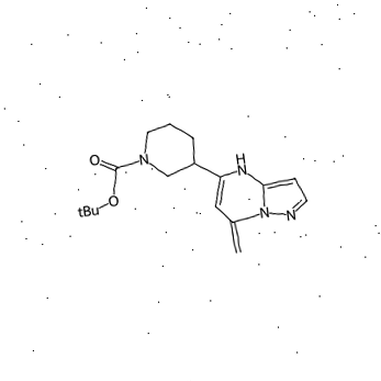 C=C1C=C(C2CCCN(C(=O)OC(C)(C)C)C2)Nc2ccnn21